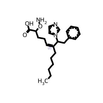 CCCCCC/C(=C/CCC(ON)C(=O)O)C(Cc1ccccc1)n1ccnc1